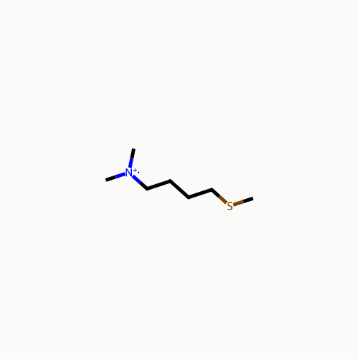 CSCCCC[N+](C)C